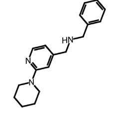 c1ccc(CNCc2ccnc(N3CCCCC3)c2)cc1